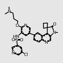 CN(C)CCCOc1ncc(-c2ccc3ncc4c(c3c2)C2(CCC2)C(=O)N4C)cc1NS(=O)(=O)c1cncc(Cl)c1